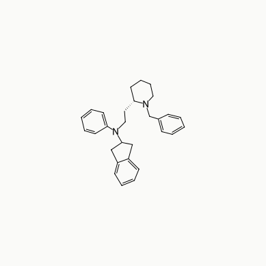 c1ccc(CN2CCCC[C@H]2CCN(c2ccccc2)C2Cc3ccccc3C2)cc1